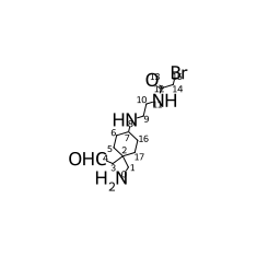 NCC1(CC=O)CCC(NCCNC(=O)CBr)CC1